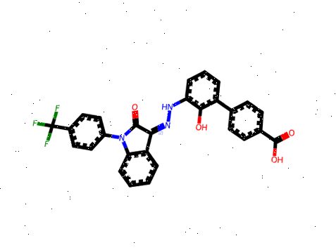 O=C(O)c1ccc(-c2cccc(N/N=C3\C(=O)N(c4ccc(C(F)(F)F)cc4)c4ccccc43)c2O)cc1